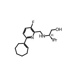 CC(C)[C@H](CO)NCc1nc(C2=CCCCCC2)ccc1F